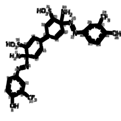 NC1(N=Nc2ccc(O)c(C(F)(F)F)c2)C=CC(=C2C=CC(N)(N=Nc3ccc(O)c(C(F)(F)F)c3)C(S(=O)(=O)O)=C2)C=C1S(=O)(=O)O